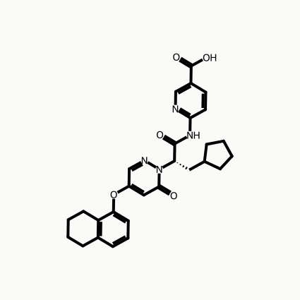 O=C(O)c1ccc(NC(=O)[C@H](CC2CCCC2)n2ncc(Oc3cccc4c3CCCC4)cc2=O)nc1